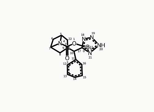 CC(C)(C)OC(=O)N1C2CC1CN(C(c1ccccc1)c1nn[nH]n1)C2